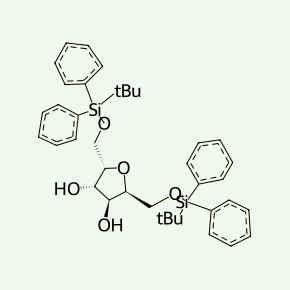 CC(C)(C)[Si](OC[C@@H]1O[C@@H](CO[Si](c2ccccc2)(c2ccccc2)C(C)(C)C)[C@@H](O)[C@@H]1O)(c1ccccc1)c1ccccc1